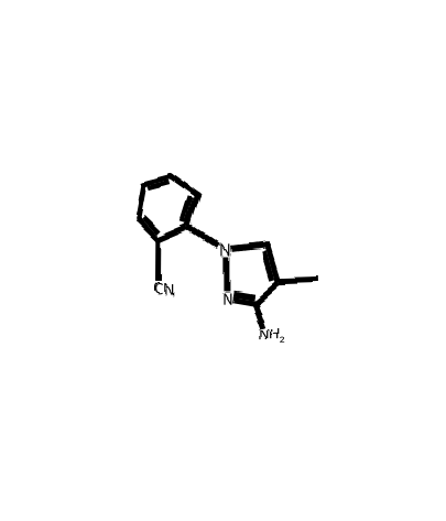 Cc1cn(-c2ccccc2C#N)nc1N